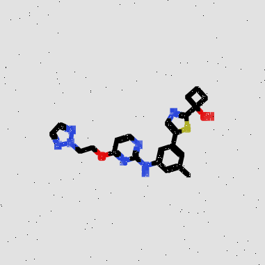 Cc1cc(Nc2nccc(OCCn3nccn3)n2)cc(-c2cnc(C3(O)CCC3)s2)c1